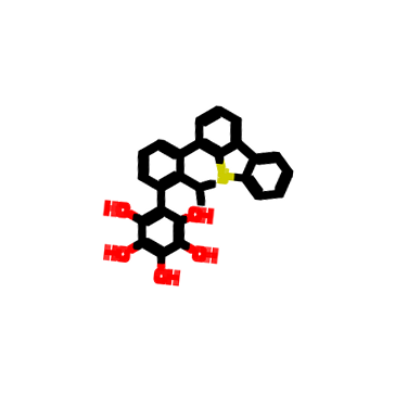 CC(C)c1c(-c2c(O)c(O)c(O)c(O)c2O)cccc1-c1cccc2c1sc1ccccc12